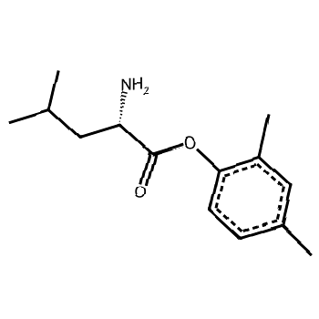 Cc1ccc(OC(=O)[C@@H](N)CC(C)C)c(C)c1